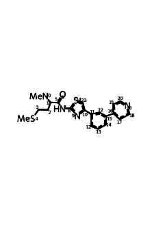 CNC(CCSC)C(=O)Nc1nc(-c2cccc(-c3ccncc3)c2)cs1